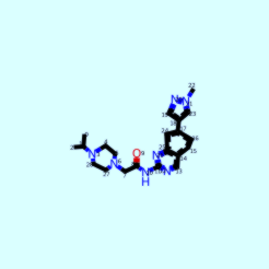 CC(C)N1CCN(CC(=O)Nc2ncc3ccc(-c4cnn(C)c4)cc3n2)CC1